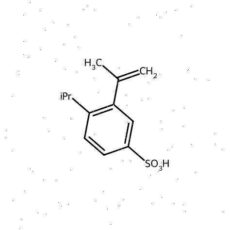 C=C(C)c1cc(S(=O)(=O)O)ccc1C(C)C